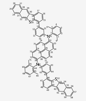 Cc1cccc(C)c1N(c1cccc(-c2cccc3c2sc2cc4ccccc4cc23)c1)c1ccc2ccc3c(N(c4cccc(-c5cccc6c5sc5cc7ccccc7cc56)c4)c4c(C)cccc4C)ccc4ccc1c2c43